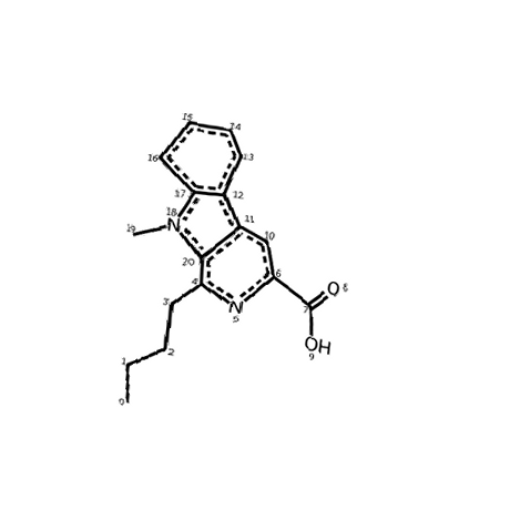 CCCCc1nc(C(=O)O)cc2c3ccccc3n(C)c12